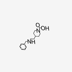 O=C(O)N1CCC(CCNCc2ccccc2)CC1